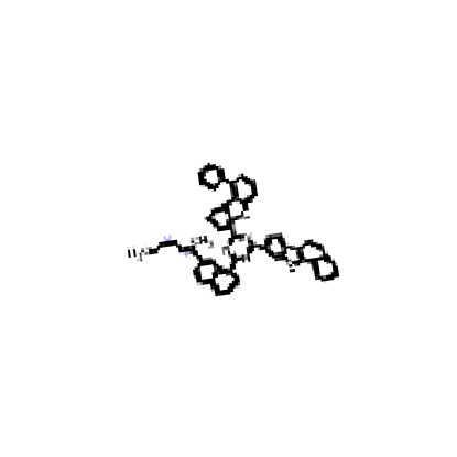 C=C/C=C\C=C(/C)c1ccc2cccc(-c3nc(-c4ccc5c(c4)sc4c6ccccc6ccc54)nc(-c4cccc5c4oc4cccc(-c6ccccc6)c45)n3)c2c1